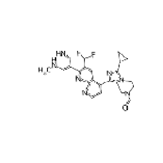 CN/C=C(\C=N)c1nc2nccc(-c3nc(C4CC4)n4c3CN(C=O)CC4)c2cc1C(F)F